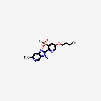 CCS(=O)(=O)c1cc(OCCCC#N)cnc1-c1nc2cc(C(F)(F)F)ncc2n1C